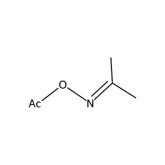 CC(=O)ON=C(C)C